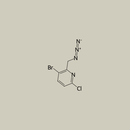 [N-]=[N+]=NCc1nc(Cl)ccc1Br